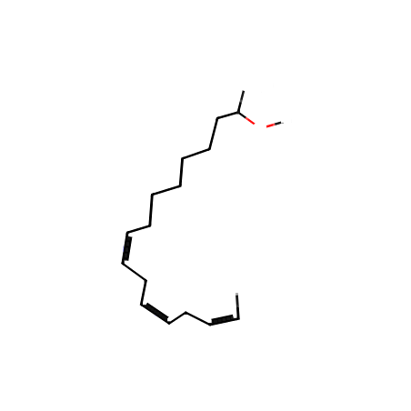 CC/C=C\C/C=C\C/C=C\CCCCCCC(OCC)C(=O)OCC